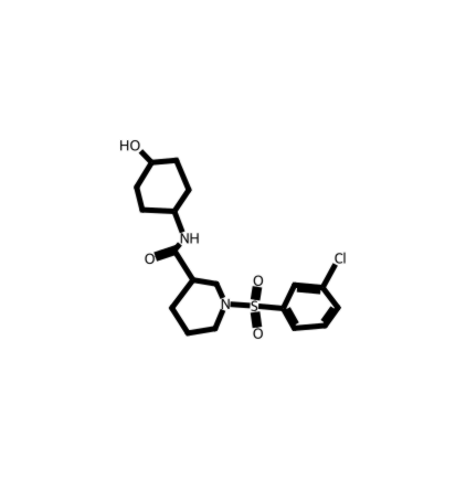 O=C(NC1CCC(O)CC1)C1CCCN(S(=O)(=O)c2cccc(Cl)c2)C1